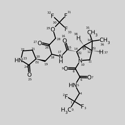 CC(F)(F)CNC(=O)C(=O)N1C[C@H]2[C@@H]([C@H]1C(=O)NC(C[C@@H]1CCNC1=O)C(=O)COC(F)(F)F)C2(C)C